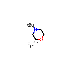 CC(C)(C)N1CCO[C@H](C(F)(F)F)C1